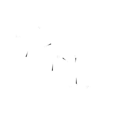 COC(=O)[C@]12CCC(C)(C)C[C@H]1[C@@]1(O)C(=O)C=C3[C@@]4(C)CC(C#N)=C(O)[C@@](C)(O)C4CC[C@@]3(C)[C@]1(C)CC2